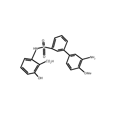 COc1ccc(-c2cccc(S(=O)(=O)Nc3cccc(O)c3C(=O)O)c2)cc1N